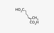 CC(=CCCCC(=O)O)C(=O)O